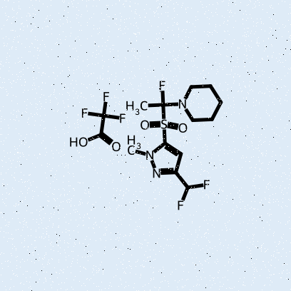 Cn1nc(C(F)F)cc1S(=O)(=O)C(C)(F)N1CCCCC1.O=C(O)C(F)(F)F